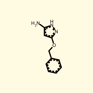 Nc1cc(OCc2ccccc2)n[nH]1